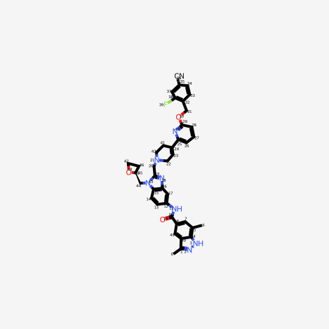 Cc1n[nH]c2c(C)cc(C(=O)Nc3ccc4c(c3)nc(CN3CC=C(c5cccc(OCc6ccc(C#N)cc6F)n5)CC3)n4C[C@@H]3CCO3)cc12